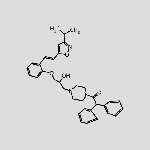 CC(C)c1cc(C=Cc2ccccc2OCC(O)CN2CCN(C(=O)C(c3ccccc3)c3ccccc3)CC2)on1